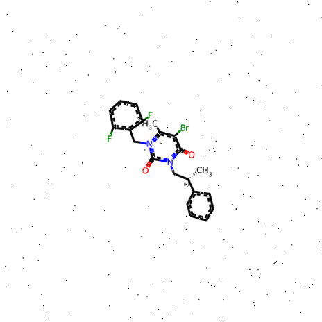 Cc1c(Br)c(=O)n(C[C@H](C)c2ccccc2)c(=O)n1Cc1c(F)cccc1F